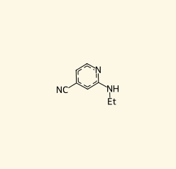 CCNc1cc(C#N)ccn1